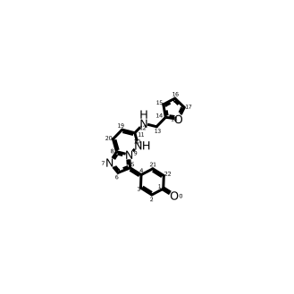 O=C1C=CC(=c2cnc3n2NC(NCc2ccco2)=CC=3)C=C1